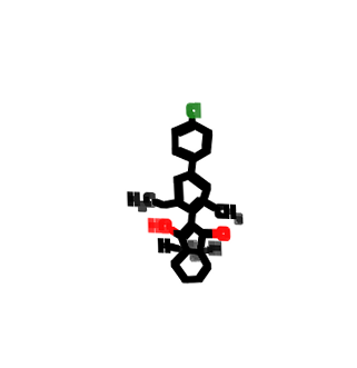 CCc1cc(-c2ccc(Cl)cc2)cc(C)c1C1=C(O)[C@H]2CCCC[C@@H]2C1=O